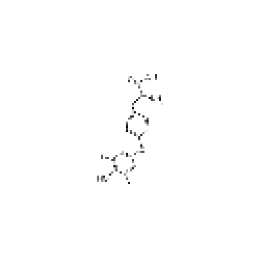 N[C@@H](Cc1ccc(Oc2cc(I)c(O)c(I)c2)cc1)C(=O)O